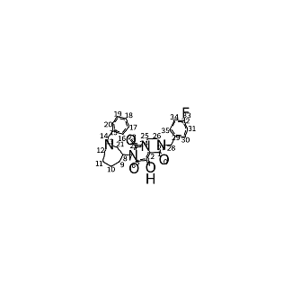 O=C1c2c(O)c(=O)n(C3CCCCN(Cc4ccccc4)C3)c(=O)n2CCN1Cc1ccc(F)cc1